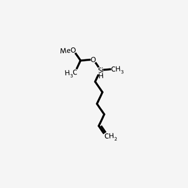 C=CCCCC[SiH](C)OC(C)OC